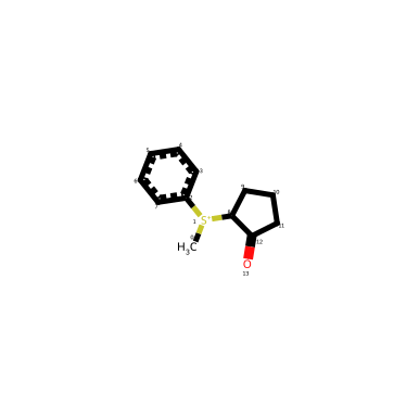 C[S+](c1ccccc1)C1CCCC1=O